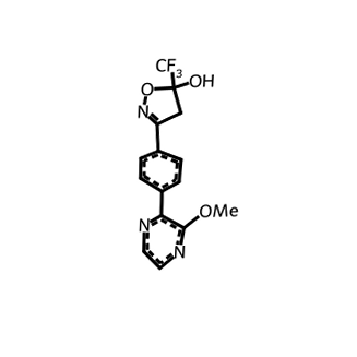 COc1nccnc1-c1ccc(C2=NOC(O)(C(F)(F)F)C2)cc1